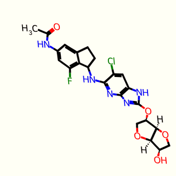 CC(=O)Nc1cc(F)c2c(c1)CCC2Nc1nc2nc(O[C@@H]3CO[C@H]4[C@@H]3OC[C@H]4O)[nH]c2cc1Cl